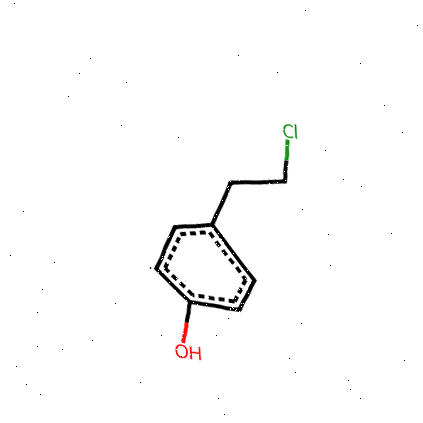 Oc1[c]cc(CCCl)cc1